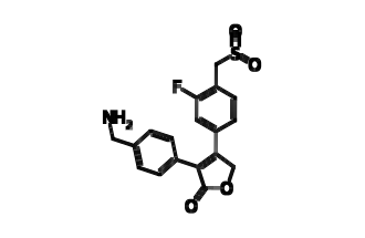 NCc1ccc(C2=C(c3ccc(C[SH](=O)=O)c(F)c3)COC2=O)cc1